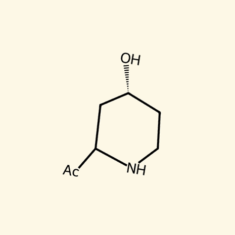 CC(=O)C1C[C@H](O)CCN1